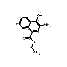 CCOC(=O)c1cc(N)c(O)c2ccccc12